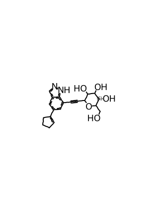 OCC1OC(C#Cc2cc(C3=CCCC3)cc3cn[nH]c23)C(O)C(O)[C@@H]1O